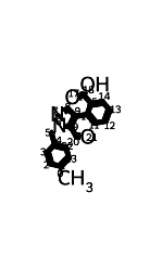 Cc1ccc(Cn2ncc(-c3ccccc3C(=O)O)c2C=O)cc1